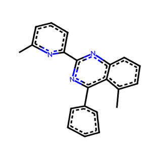 Cc1cccc(-c2nc(-c3ccccc3)c3c(C)cccc3n2)n1